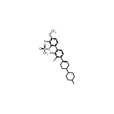 CC1CCC(C2CC=C(c3ccc(-c4ccc(OC(F)(F)F)c(F)c4OS(=O)(=O)C(F)(F)F)c(F)c3F)CC2)CC1